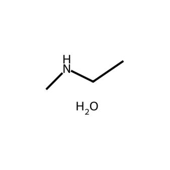 CCNC.O